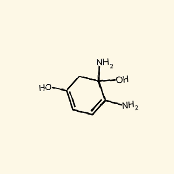 NC1=CC=C(O)CC1(N)O